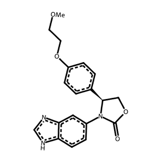 COCCOc1ccc([C@H]2COC(=O)N2c2ccc3[nH]cnc3c2)cc1